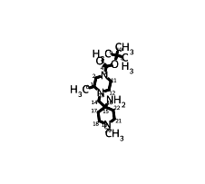 CC1CN(C(=O)OC(C)(C)C)CCN1CC1(N)CCN(C)CC1